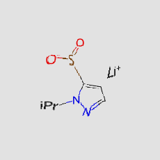 CC(C)n1nccc1S(=O)[O-].[Li+]